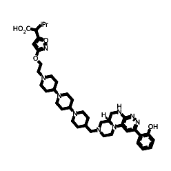 CC(C)C(C(=O)O)c1cc(OCCN2CCC(N3CCC(N4CCC(CN5CCN6c7cc(-c8ccccc8O)nnc7NC[C@H]6C5)CC4)CC3)CC2)no1